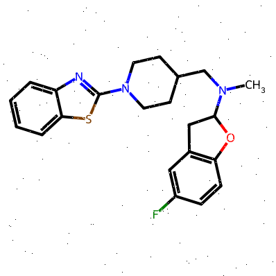 CN(CC1CCN(c2nc3ccccc3s2)CC1)C1Cc2cc(F)ccc2O1